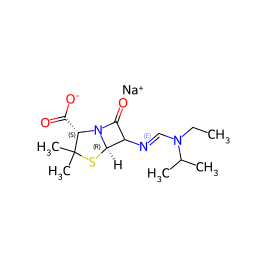 CCN(/C=N/C1C(=O)N2[C@@H]1SC(C)(C)[C@@H]2C(=O)[O-])C(C)C.[Na+]